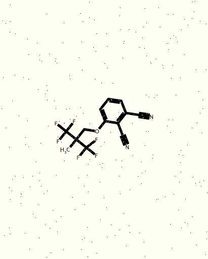 CC(COc1cccc(C#N)c1C#N)(C(F)(F)F)C(F)(F)F